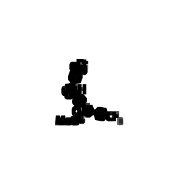 CCS(=O)(=O)c1ccc(C(CO)NC(=O)c2ccc(N3CC(c4ccc(C(F)(F)F)cc4)C[C@H]3C(=O)N(C)OC)cc2)cc1